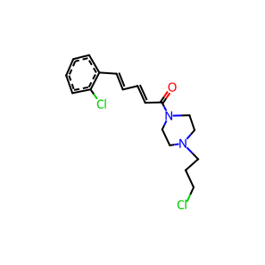 O=C(C=CC=Cc1ccccc1Cl)N1CCN(CCCCl)CC1